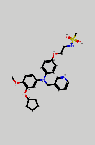 COc1ccc(N(Cc2cccnc2)c2ccc(OCCNS(C)(=O)=O)cc2)cc1OC1CCCC1